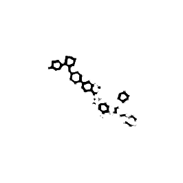 O=[N+]([O-])c1cc(S(=O)(=O)Nc2ncnc3cc(C4=CCC(Cc5ccccc5-c5ccc(Cl)cc5)CC4)ccc23)ccc1N[C@H](CCN1CCOCC1)CSc1ccccc1